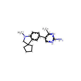 CN1CC2(CCCC2)c2cc(-c3cnc(N)nc3C(F)(F)F)ccc21